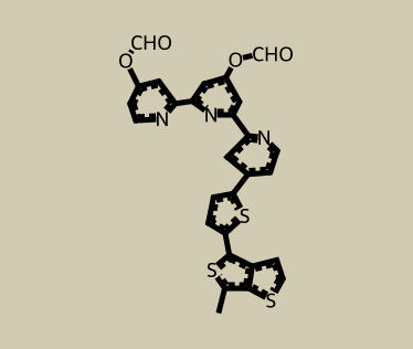 Cc1sc(-c2ccc(-c3ccnc(-c4cc(OC=O)cc(-c5cc(OC=O)ccn5)n4)c3)s2)c2ccsc12